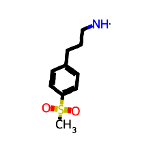 CS(=O)(=O)c1ccc(CCC[NH])cc1